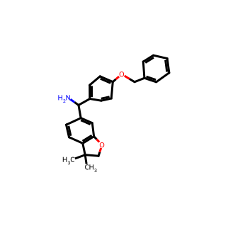 CC1(C)COc2cc(C(N)c3ccc(OCc4ccccc4)cc3)ccc21